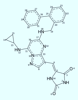 O=C1NC(=O)/C(=C/c2cnn3c(NC4CC4)cc(NCc4ccccc4-c4ccccc4)nc23)N1